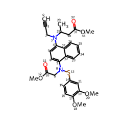 C#CCN(c1ccc(N(CC(=O)OC)Sc2ccc(OC)c(OC)c2)c2ccccc12)C(C)CC(=O)OC